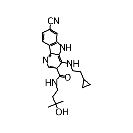 CC(C)(O)CCNC(=O)c1cnc2c([nH]c3cc(C#N)ccc32)c1NCCC1CC1